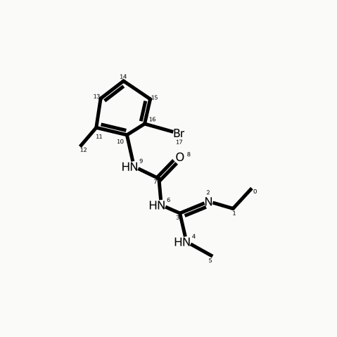 CCN=C(NC)NC(=O)Nc1c(C)cccc1Br